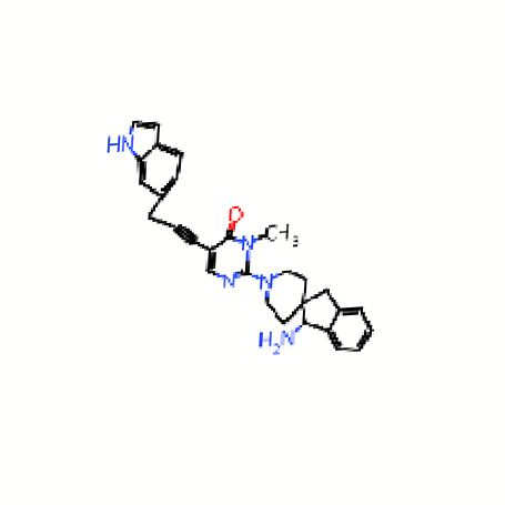 Cn1c(N2CCC3(CC2)Cc2ccccc2[C@H]3N)ncc(C#CCc2ccc3cc[nH]c3c2)c1=O